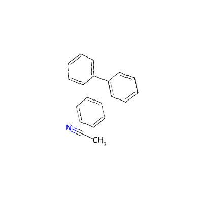 CC#N.c1ccc(-c2ccccc2)cc1.c1ccccc1